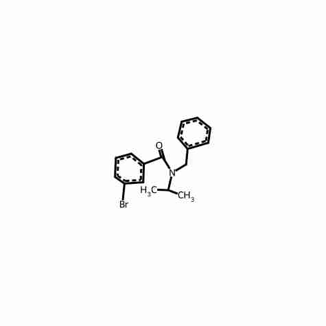 CC(C)N(Cc1ccccc1)C(=O)c1cccc(Br)c1